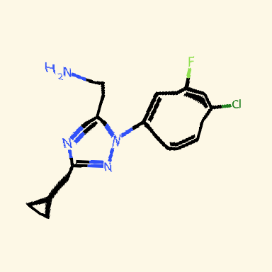 NCc1nc(C2CC2)nn1-c1ccc(Cl)c(F)c1